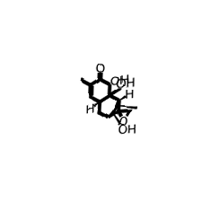 CC1=C[C@H]2CC3[C@H](O)[C@H](C)[C@@H](C34CO4)C2(CO)C(O)C1=O